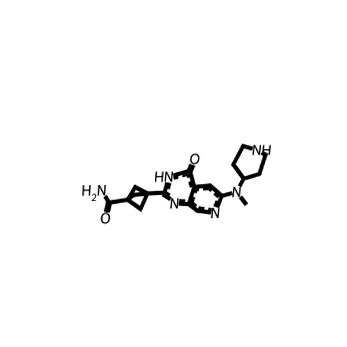 CN(c1cc2c(=O)[nH]c(C34CC(C(N)=O)(C3)C4)nc2cn1)C1CCNCC1